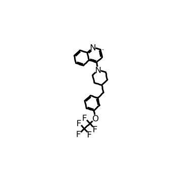 FC(F)(F)C(F)(F)Oc1cccc(CC2CCN(c3c[c]nc4ccccc34)CC2)c1